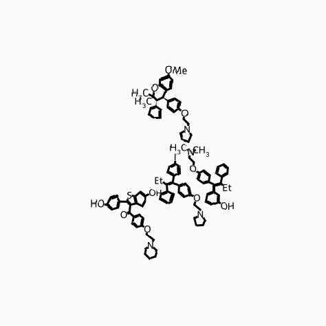 CC/C(=C(/c1ccc(OCCN(C)C)cc1)c1cccc(O)c1)c1ccccc1.CC/C(=C(\c1ccc(I)cc1)c1ccc(OCCN2CCCC2)cc1)c1ccccc1.COc1ccc2c(c1)OC(C)(C)[C@@H](c1ccccc1)[C@@H]2c1ccc(OCCN2CCCC2)cc1.O=C(c1ccc(OCCN2CCCCC2)cc1)c1c(-c2ccc(O)cc2)sc2cc(O)ccc12